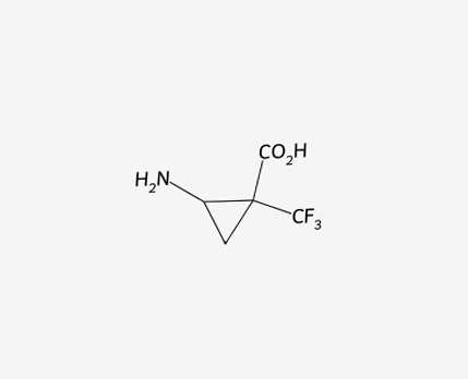 NC1CC1(C(=O)O)C(F)(F)F